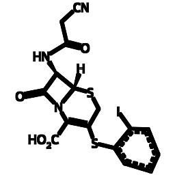 N#CCC(=O)N[C@@H]1C(=O)N2C(C(=O)O)=C(Sc3ccccc3I)CS[C@@H]12